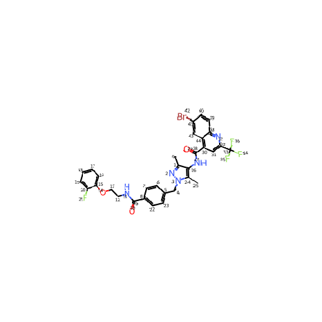 Cc1nn(Cc2ccc(C(=O)NCCOc3ccccc3F)cc2)c(C)c1NC(=O)c1cc(C(F)(F)F)nc2ccc(Br)cc12